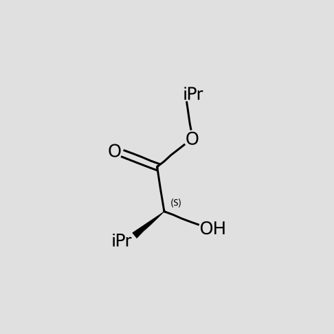 CC(C)OC(=O)[C@@H](O)C(C)C